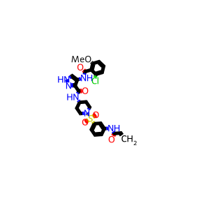 C=CC(=O)Nc1cccc(S(=O)(=O)N2CCC(NC(=O)c3n[nH]cc3NC(=O)c3c(Cl)cccc3OC)CC2)c1